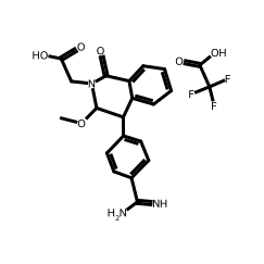 COC1C(c2ccc(C(=N)N)cc2)c2ccccc2C(=O)N1CC(=O)O.O=C(O)C(F)(F)F